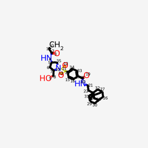 C=CC(=O)NC1CC(CO)N(S(=O)(=O)c2ccc(C(=O)NCCC34CC5CC(CC(C5)C3)C4)cc2)C1